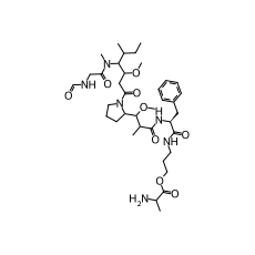 CCC(C)C(C(CC(=O)N1CCCC1C(OC)C(C)C(=O)N[C@@H](Cc1ccccc1)C(=O)NCCCOC(=O)C(C)N)OC)N(C)C(=O)CNC=O